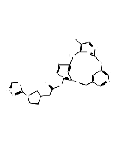 O=C(CC1CCN(c2nncs2)C1)Nc1ccc2cc1CCc1cncc(c1)Nc1ncc(Cl)c(n1)N2